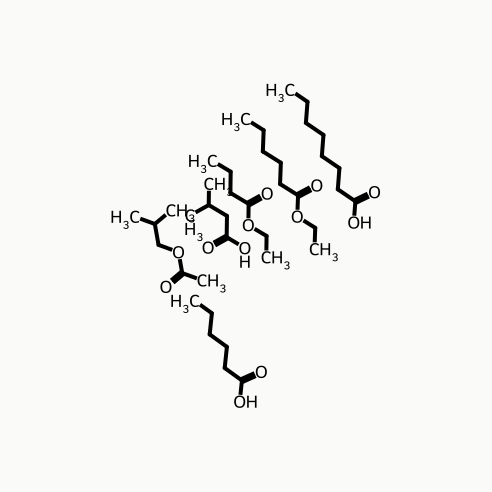 CC(=O)OCC(C)C.CC(C)CC(=O)O.CCCC(=O)OCC.CCCCCC(=O)O.CCCCCC(=O)OCC.CCCCCCCC(=O)O